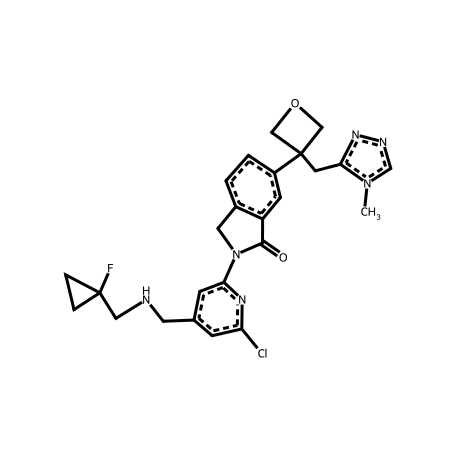 Cn1cnnc1CC1(c2ccc3c(c2)C(=O)N(c2cc(CNCC4(F)CC4)cc(Cl)n2)C3)COC1